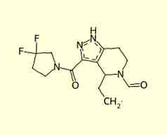 [CH2]CC1c2c(C(=O)N3CCC(F)(F)C3)n[nH]c2CCN1C=O